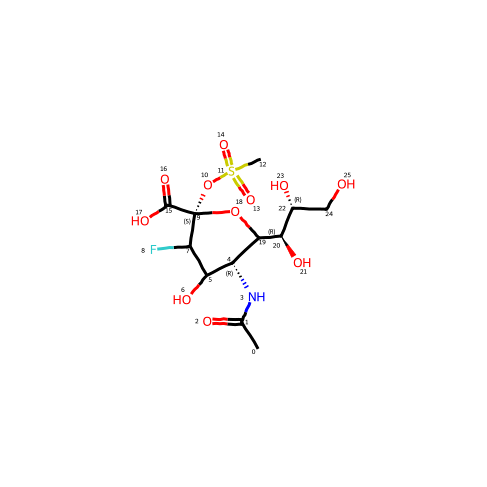 CC(=O)N[C@@H]1C(O)C(F)[C@@](OS(C)(=O)=O)(C(=O)O)OC1[C@H](O)[C@H](O)CO